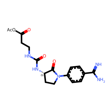 CC(=O)OC(=O)CCNC(=O)N[C@H]1CCN(c2ccc(C(=N)N)cc2)C1=O